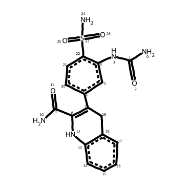 NC(=O)Nc1cc(C2=C(C(N)=O)Nc3ccccc3C2)ccc1S(N)(=O)=O